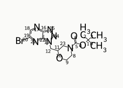 CC(C)(C)OC(=O)N1CCOC(Cn2nnc3ncc(Br)nc32)C1